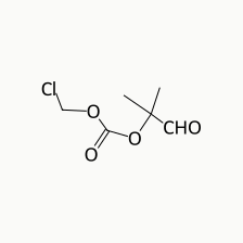 CC(C)(C=O)OC(=O)OCCl